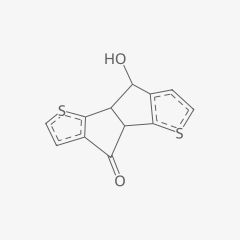 O=C1c2ccsc2C2C(O)c3ccsc3C12